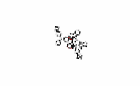 Cc1c(-c2c(C3c4ccccc4-c4cccnc43)cc3c(sc4ccccc43)c2N(c2ccccc2)c2ccc([Si](C)(C)C)cc2)c2ccccc2c2cc(C(c3ccccc3)c3ccc([Si](C)(C)C)cc3)ccc12